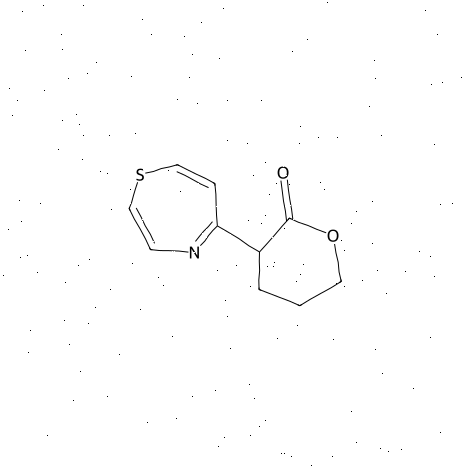 O=C1OCCCC1C1=NC=CSC=C1